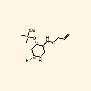 C=CCON[C@H]1CN[C@H](CC)C[C@@H]1O[Si](C)(C)C(C)(C)C